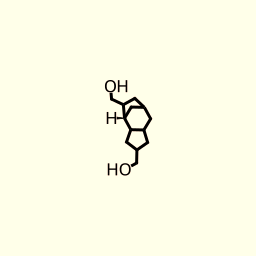 OCC1CC2CC3CC(CO)[C@H](C3)C2C1